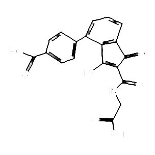 O=C(O)CNC(=O)C1=C(O)c2c(cccc2-c2ccc(C(=O)O)cc2)C1=O